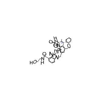 CCCc1nc2c(C(=O)NCCO)cccc2n1Cc1ccc2c(c1)COc1ccccc1/C2=C(\C)c1noc(=O)[nH]1